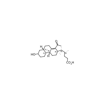 C[C@H](CCC(=O)O)[C@H]1CC(=O)C2=C3CC[C@H]4CC(O)CC[C@]4(C)[C@H]3CC[C@@]21C